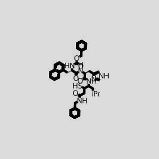 CC(C)CC(NC(=O)[C@H](Cc1c[nH]cn1)NC(=O)[C@H](Cc1cccc2ccccc12)NC(=O)OCc1ccccc1)C(S)CC(=O)NCc1ccccc1